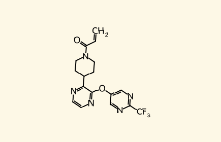 C=CC(=O)N1CCC(c2nccnc2Oc2cnc(C(F)(F)F)nc2)CC1